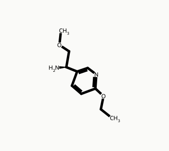 CCOc1ccc([C@@H](N)COC)cn1